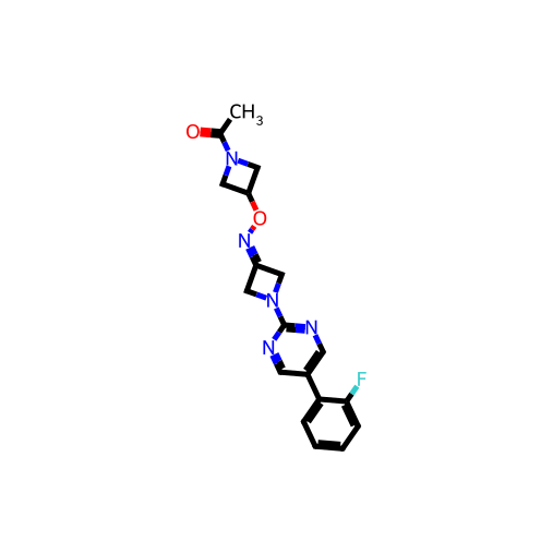 CC(=O)N1CC(ON=C2CN(c3ncc(-c4ccccc4F)cn3)C2)C1